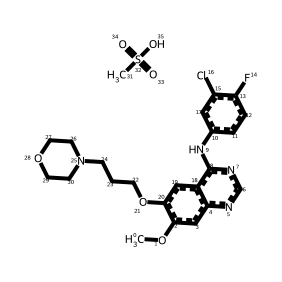 COc1cc2ncnc(Nc3ccc(F)c(Cl)c3)c2cc1OCCCN1CCOCC1.CS(=O)(=O)O